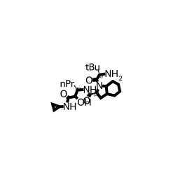 CCC[C@H](NC(=O)[C@@H]1CC2CCCCC2N1C(=O)[C@@H](N)C(C)(C)C)C(O)C(=O)NC1CC1